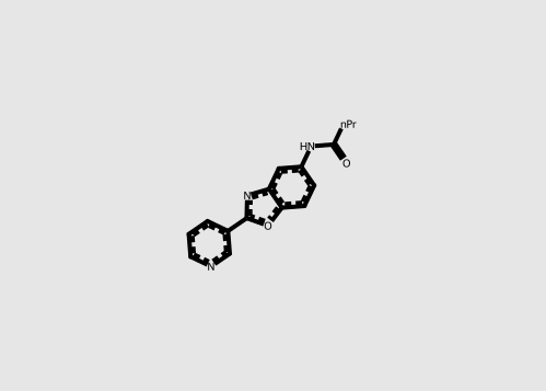 CCCC(=O)Nc1ccc2oc(-c3cccnc3)nc2c1